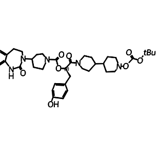 CC(C)(C)OC(=O)ON1CCC(C2CCN(C(=O)[C@@H](Cc3ccc(O)cc3)OC(=O)N3CCC(N4CCc5ccccc5NC4=O)CC3)CC2)CC1